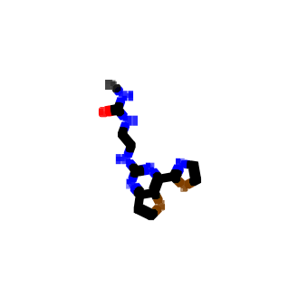 CCNC(=O)NCCNc1nc(-c2nccs2)c2sccc2n1